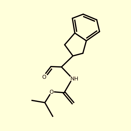 C=C(NC(C=O)C1Cc2ccccc2C1)OC(C)C